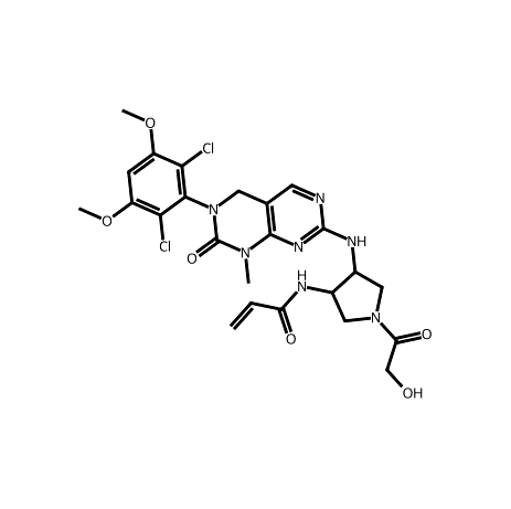 C=CC(=O)NC1CN(C(=O)CO)CC1Nc1ncc2c(n1)N(C)C(=O)N(c1c(Cl)c(OC)cc(OC)c1Cl)C2